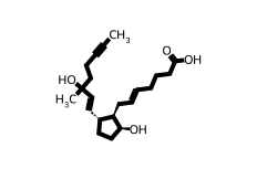 CC#CCCC(C)(O)C=C[C@H]1CC[C@H](O)[C@@H]1CC=CCCCC(=O)O